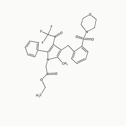 CCOC(=O)Cn1c(C)c(Cc2ccccc2S(=O)(=O)N2CCOCC2)c(C(=O)C(F)(F)F)c1-c1ccccc1